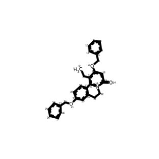 CCc1c(OCc2ccccc2)cc(=O)n2c1-c1ccc(OCc3ccccc3)cc1CC2